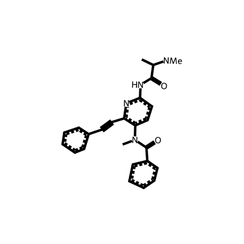 CNC(C)C(=O)Nc1ccc(N(C)C(=O)c2ccccc2)c(C#Cc2ccccc2)n1